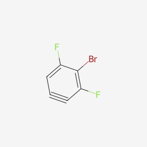 Fc1c#ccc(F)c1Br